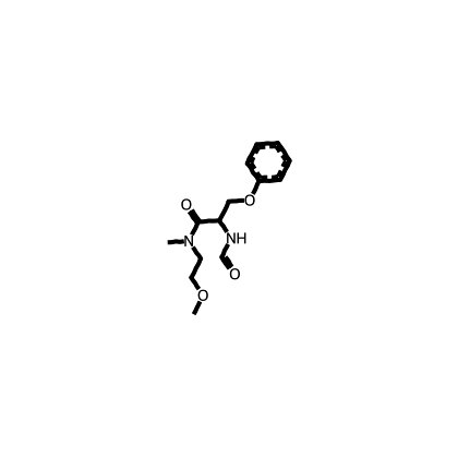 COCCN(C)C(=O)C(COc1ccccc1)NC=O